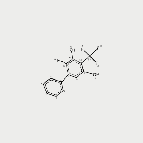 Oc1cc(-c2ccccc2)c(I)c(O)c1C(F)(F)F